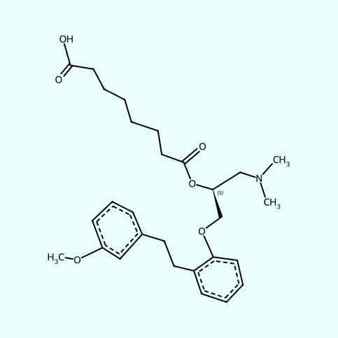 COc1cccc(CCc2ccccc2OC[C@H](CN(C)C)OC(=O)CCCCCCC(=O)O)c1